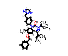 CCC(C)C1=NN(C(C)C)C(=O)N(c2ccc(CC3=NCCN3)cc2)c2cc(C)c(OCc3ccccc3)cc21